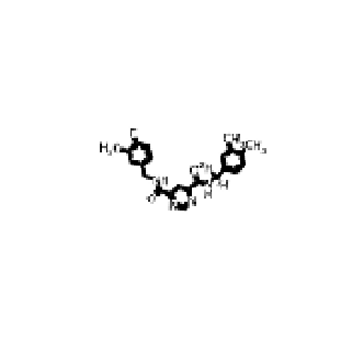 [2H]C([2H])(NC(=O)c1cc(C(=O)NCc2ccc(F)c(C)c2)ncn1)c1ccc(C)c(C)c1